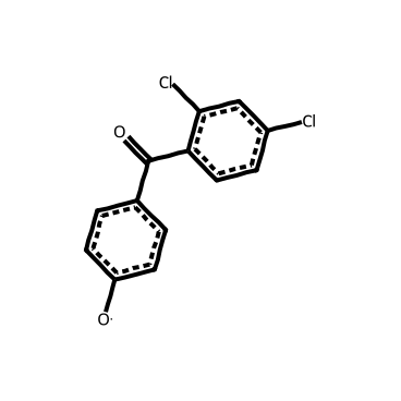 [O]c1ccc(C(=O)c2ccc(Cl)cc2Cl)cc1